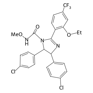 CCOc1cc(C(F)(F)F)ccc1C1=NC(c2ccc(Cl)cc2)C(c2ccc(Cl)cc2)N1C(=O)NOC